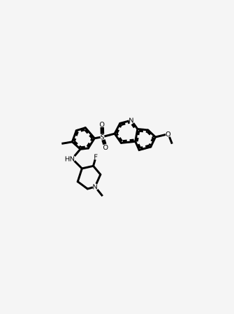 COc1ccc2cc(S(=O)(=O)c3ccc(C)c(NC4CCN(C)CC4F)c3)cnc2c1